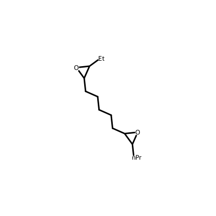 CCCC1OC1CCCCCC1OC1CC